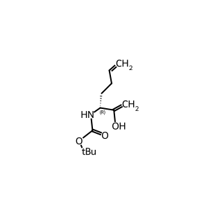 C=CCC[C@@H](NC(=O)OC(C)(C)C)C(=C)O